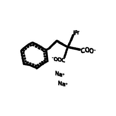 CC(C)C(Cc1ccccc1)(C(=O)[O-])C(=O)[O-].[Na+].[Na+]